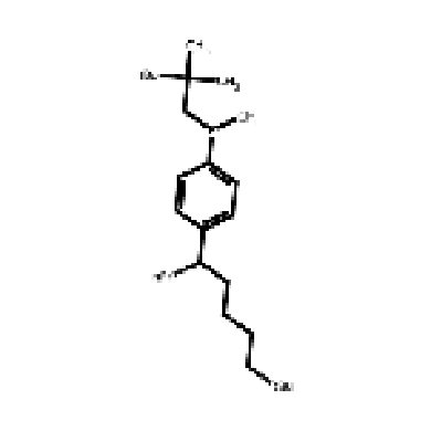 CCCC(CCCCC(C)(C)C)c1ccc(B(C)CC(C)(C)C(C)(C)C)cc1